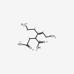 CCC=C(CCC)C(CC(=O)O)C(=O)O